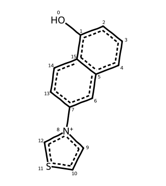 Oc1cccc2cc(-[n+]3ccsc3)ccc12